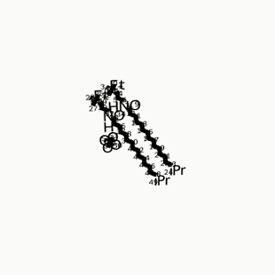 CC[N+](C)(C)CCCNC(=O)CCCCCCCCCCCCCCC(C)C.CC[N+](C)(C)CCCNC(=O)CCCCCCCCCCCCCCC(C)C.O=S(=O)([O-])[O-]